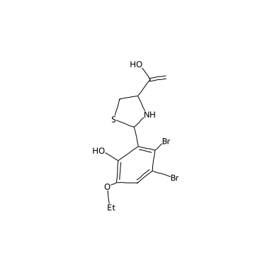 C=C(O)C1CSC(c2c(O)c(OCC)cc(Br)c2Br)N1